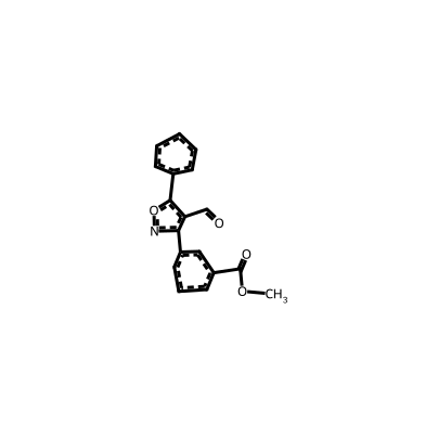 COC(=O)c1cccc(-c2noc(-c3ccccc3)c2C=O)c1